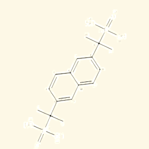 CC(C)(c1ccc2cc(C(C)(C)P(=O)(O)O)ccc2c1)P(=O)(O)O